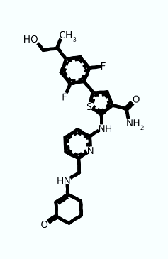 CC(CO)c1cc(F)c(-c2cc(C(N)=O)c(Nc3cccc(CNC4=CC(=O)CCC4)n3)s2)c(F)c1